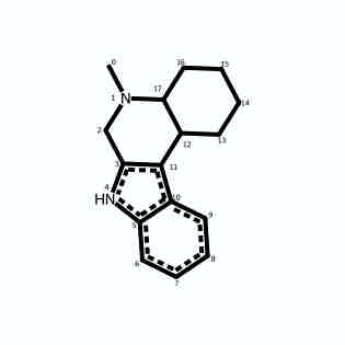 CN1Cc2[nH]c3ccccc3c2C2CCCCC21